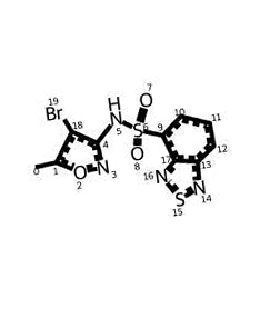 Cc1onc(NS(=O)(=O)c2cccc3nsnc23)c1Br